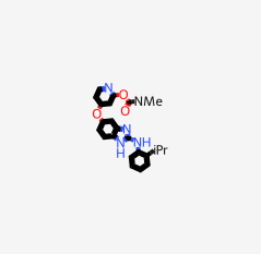 CNC(=O)Oc1cc(Oc2ccc3[nH]c(Nc4ccccc4C(C)C)nc3c2)ccn1